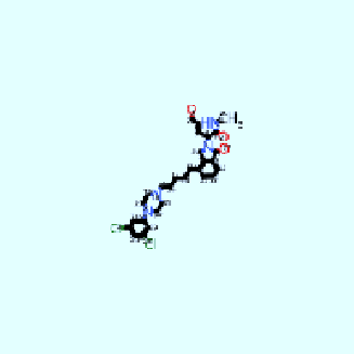 CNC(=O)C(CCC=O)N1Cc2c(CCCCCN3CCN(c4cc(Cl)cc(Cl)c4)CC3)cccc2C1=O